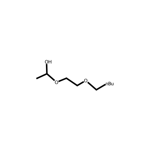 CCCCCOCCOC(C)O